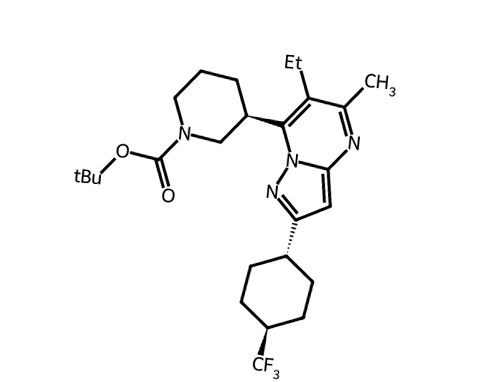 CCc1c(C)nc2cc([C@H]3CC[C@H](C(F)(F)F)CC3)nn2c1[C@@H]1CCCN(C(=O)OC(C)(C)C)C1